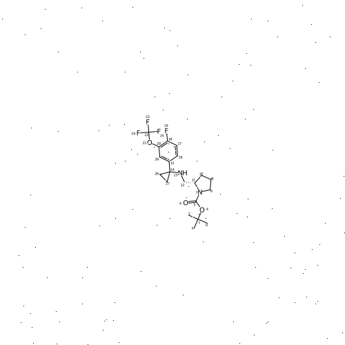 CC(C)(C)OC(=O)N1CCC[C@H]1CNC1(c2ccc(F)c(OC(F)(F)F)c2)CC1